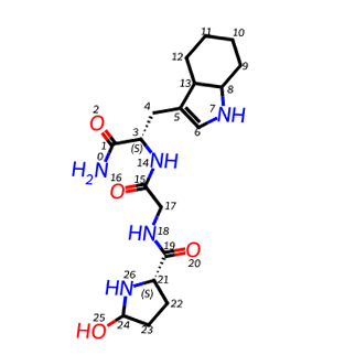 NC(=O)[C@H](CC1=CNC2CCCCC12)NC(=O)CNC(=O)[C@@H]1CCC(O)N1